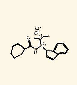 C[SiH](C)[Hf+2]([NH]C(=O)C1CCCCC1)[CH]1C=Cc2ccccc21.[Cl-].[Cl-]